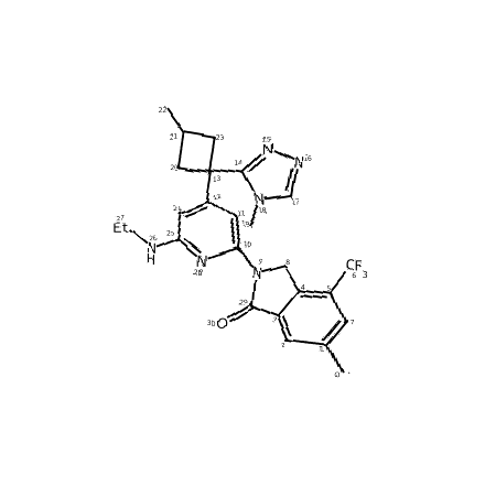 [CH2]c1cc2c(c(C(F)(F)F)c1)CN(c1cc(C3(c4nncn4C)CC(C)C3)cc(NCC)n1)C2=O